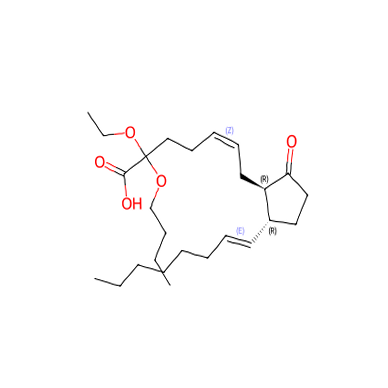 CCCCCC/C=C/[C@H]1CCC(=O)[C@@H]1C/C=C\CCC(OCC)(OCCCC)C(=O)O